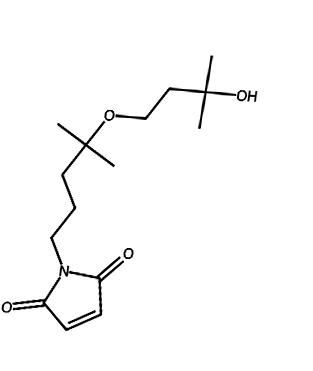 CC(C)(O)CCOC(C)(C)CCCN1C(=O)C=CC1=O